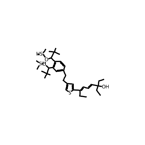 CCC(=CC=CC(O)(CC)CC)c1cc(CCc2ccc(C(O[SiH](C)C)C(C)(C)C)c(C(O[SiH](C)C)C(C)(C)C)c2)cs1